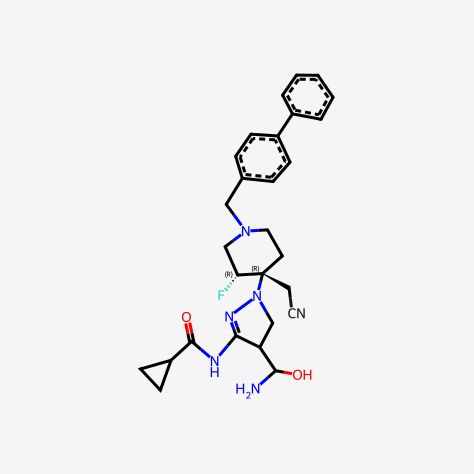 N#CC[C@]1(N2CC(C(N)O)C(NC(=O)C3CC3)=N2)CCN(Cc2ccc(-c3ccccc3)cc2)C[C@H]1F